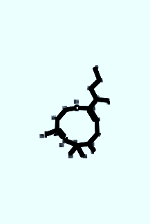 CCCC(C)/C1=C/CC(C)C(C)(C)/N=C(/I)CCC1